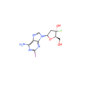 Nc1nc(I)nc2c1ncn2[C@H]1C[C@@](O)(F)[C@@H](CO)O1